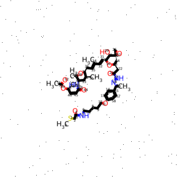 CSCC(=O)NCCCCCOc1ccc(/C(C)=N/NC(=O)C[C@@H]2C[C@@]3(CO3)[C@H](O)[C@@H](/C=C/C(C)=C/C[C@@H]3O[C@H](C)[C@H](NC(=O)/C=C\[C@H](C)OC(C)=O)C[C@@H]3C)O2)cc1